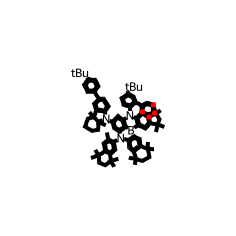 Cc1cc2c(cc1N1c3cc4c(cc3B3c5cc6c(cc5N(c5ccc(C(C)(C)C)cc5-c5ccccc5)c5cc(N7c8ccc(-c9ccc(C(C)(C)C)cc9)cc8C8(C)CCCCC78C)cc1c53)C(C)(C)CC6(C)C)C(C)(C)CCC4(C)C)C(C)(C)CCC2(C)C